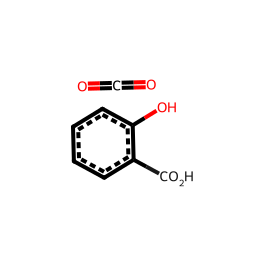 O=C(O)c1ccccc1O.O=C=O